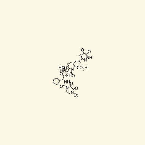 CCN1CCN(C(=O)NC(C(=O)N[C@]2(NO)C(=O)N3C(C(=O)O)=C(CSc4n[nH]c(=O)c(=O)n4C)CS[C@H]32)c2ccccc2)C(=O)C1=O